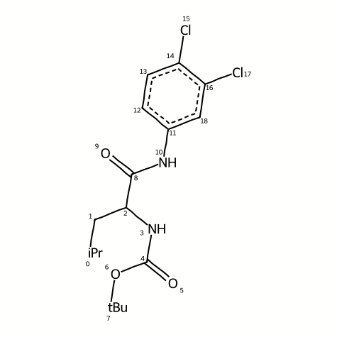 CC(C)CC(NC(=O)OC(C)(C)C)C(=O)Nc1ccc(Cl)c(Cl)c1